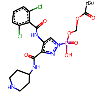 CC(C)(C)C(=O)OCOP(=O)(O)n1cc(NC(=O)c2c(Cl)cccc2Cl)c(C(=O)NC2CCNCC2)n1